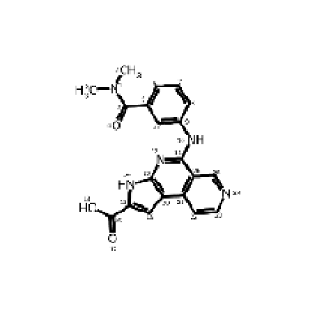 CN(C)C(=O)c1cccc(Nc2nc3[nH]c(C(=O)O)cc3c3ccncc23)c1